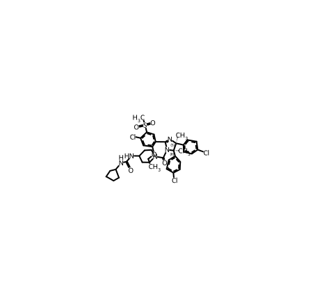 CCOc1cc(Cl)c(S(C)(=O)=O)cc1C1=N[C@@](C)(c2ccc(Cl)cc2)[C@@](C)(c2ccc(Cl)cc2)N1C(=O)N1CCC(NC(=O)NC2CCCC2)CC1